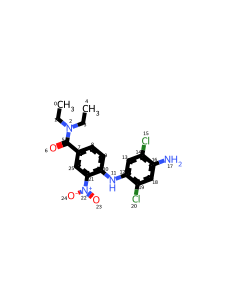 CCN(CC)C(=O)c1ccc(Nc2cc(Cl)c(N)cc2Cl)c([N+](=O)[O-])c1